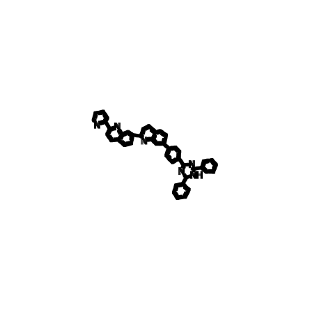 c1ccc(C2=NC(c3ccc(-c4ccc5ccc(-c6ccc7ccc(-c8ccccn8)nc7c6)nc5c4)cc3)=NC(c3ccccc3)N2)cc1